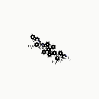 C=Cc1oc2c(N(c3ccc4c(c3)c3cccc5c6c(-c7ccccc7)c7c(c(-c8ccccc8)c6n4c35)c3cccc4/c(=C/C(=C)N(/C=C/C=C\C5=COC6C=CC=CC56)C5C=CC(C)=CC5)c(=C)n7c43)C3C=CC(C)=CC3)cccc2c1/C=C\C